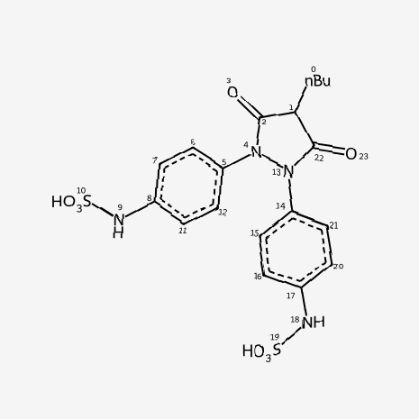 CCCCC1C(=O)N(c2ccc(NS(=O)(=O)O)cc2)N(c2ccc(NS(=O)(=O)O)cc2)C1=O